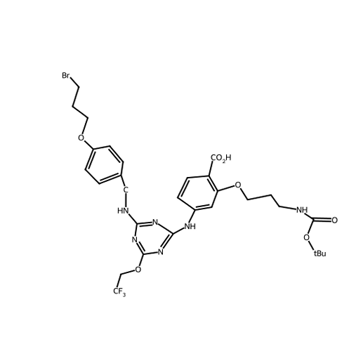 CC(C)(C)OC(=O)NCCCOc1cc(Nc2nc(NCc3ccc(OCCCBr)cc3)nc(OCC(F)(F)F)n2)ccc1C(=O)O